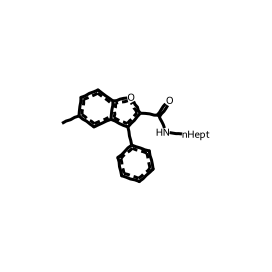 CCCCCCCNC(=O)c1oc2ccc(C)cc2c1-c1ccccc1